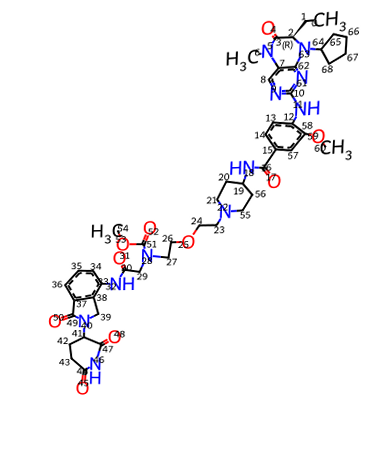 CC[C@@H]1C(=O)N(C)c2cnc(Nc3ccc(C(=O)NC4CCN(CCOCCN(CC(=O)Nc5cccc6c5CN(C5CCC(=O)NC5=O)C6=O)C(=O)OC)CC4)cc3OC)nc2N1C1CCCC1